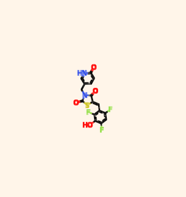 O=C1SC(=Cc2c(F)cc(F)c(O)c2F)C(=O)N1Cc1ccc(=O)[nH]c1